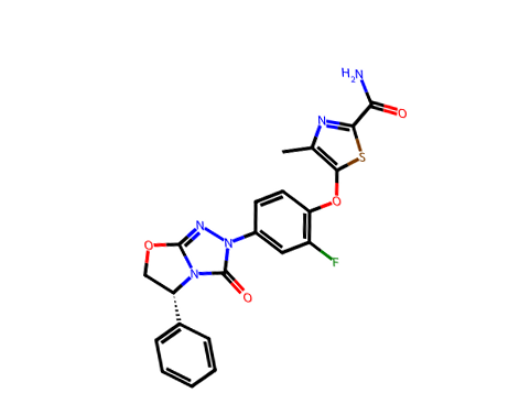 Cc1nc(C(N)=O)sc1Oc1ccc(-n2nc3n(c2=O)[C@H](c2ccccc2)CO3)cc1F